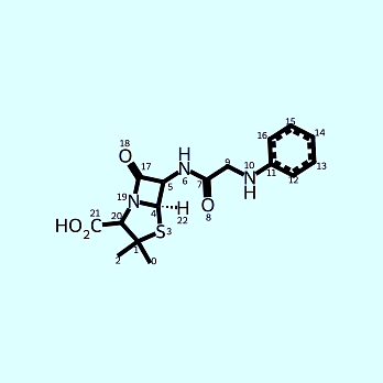 CC1(C)S[C@@H]2C(NC(=O)CNc3ccccc3)C(=O)N2C1C(=O)O